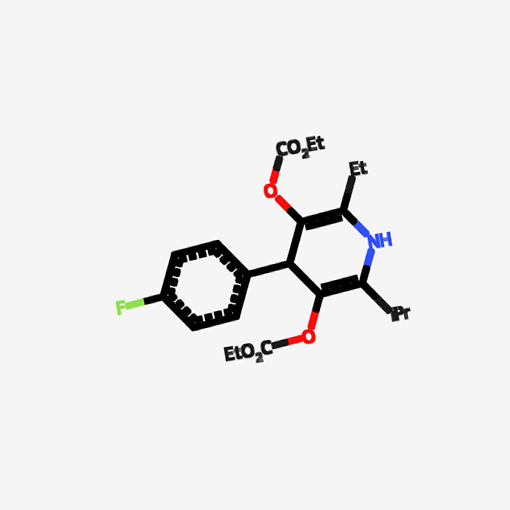 CCOC(=O)OC1=C(CC)NC(C(C)C)=C(OC(=O)OCC)C1c1ccc(F)cc1